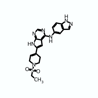 CCS(=O)(=O)N1CC=C(c2cc3c(Nc4ccc5[nH]ncc5c4)ncnc3[nH]2)CC1